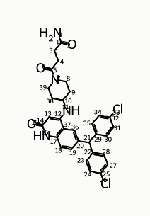 NC(=O)CCC(=O)N1CCC(Nc2cc(=O)[nH]c3ccc(C(c4ccc(Cl)cc4)c4ccc(Cl)cc4)cc23)CC1